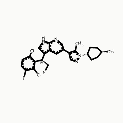 Cc1c(-c2cnc3[nH]cc([C@@H](CF)c4c(Cl)ccc(F)c4Cl)c3c2)cnn1[C@H]1CC[C@H](O)CC1